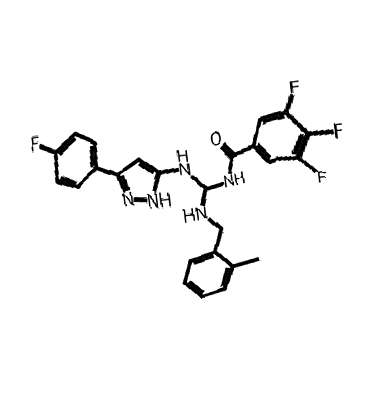 Cc1ccccc1CNC(NC(=O)c1cc(F)c(F)c(F)c1)Nc1cc(-c2ccc(F)cc2)n[nH]1